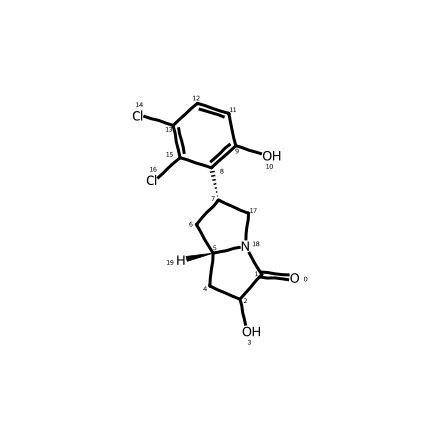 O=C1C(O)C[C@@H]2C[C@H](c3c(O)ccc(Cl)c3Cl)CN12